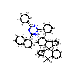 CC1(C)c2ccccc2C2(c3ccccc3-c3ccc(-c4ccc5ccccc5c4-c4nc(-c5ccccc5)nc(-c5ccccc5)n4)cc32)c2ccccc21